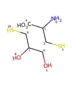 NC(CS)C(=O)O.OCC(O)CS